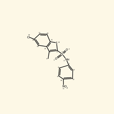 Cc1c(S(=O)(=O)Nc2ccc([N+](=O)[O-])cc2)sc2ccc(Cl)cc12